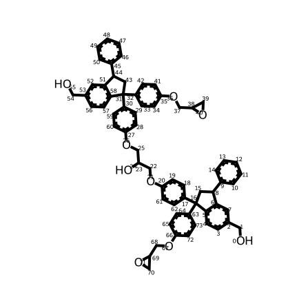 OCc1ccc2c(c1)C(c1ccccc1)CC2(c1ccc(OCC(O)COc2ccc(C3(c4ccc(OCC5CO5)cc4)CC(c4ccccc4)c4cc(CO)ccc43)cc2)cc1)c1ccc(OCC2CO2)cc1